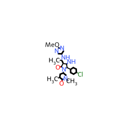 COc1ncc(N/C(C)=C2\C(=N)C(c3ccc(Cl)cc3)N(c3cc(C)c(=O)n(C)c3)C2=O)cn1